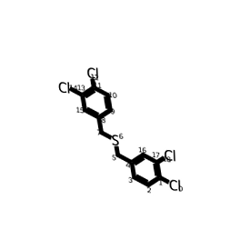 Clc1ccc(CSCc2ccc(Cl)c(Cl)c2)cc1Cl